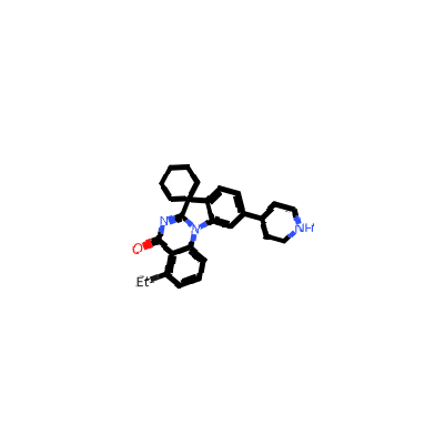 CCc1cccc2c1c(=O)nc1n2-c2cc(C3CCNCC3)ccc2C12CCCCC2